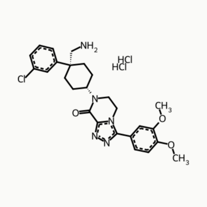 COc1ccc(-c2nnc3n2CCN([C@H]2CC[C@](CN)(c4cccc(Cl)c4)CC2)C3=O)cc1OC.Cl.Cl